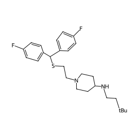 CC(C)(C)CCNC1CCN(CCSC(c2ccc(F)cc2)c2ccc(F)cc2)CC1